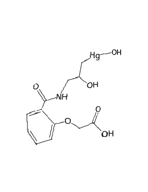 O=C(O)COc1ccccc1C(=O)NCC(O)[CH2][Hg][OH]